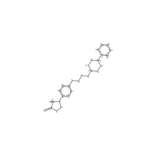 O=C1CCC(c2ccc(CCCCN3CCN(c4ncccn4)CC3)cc2)N1